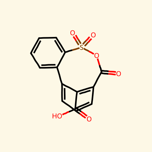 O=C1OS(=O)(=O)c2ccccc2-c2cccc1c2C(=O)O